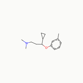 Cc1cccc(OC(CCN(C)C)C2CC2)c1